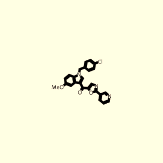 COc1ccc2c(c1)c(C(=O)c1cnc(-c3cccnc3)o1)cn2Cc1ccc(Cl)cc1